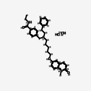 CCNC(=O)c1ccc(CN(CCCCCOc2ccc3c(ccc(=O)n3C)c2)CCc2cccnc2)cc1.Cl.Cl